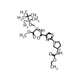 CCOC(=O)N[C@@H]1CCN(c2nc(C(=O)N[C@@H](CO[Si](C)(C)C(C)(C)C)C(=O)OC)cs2)C1